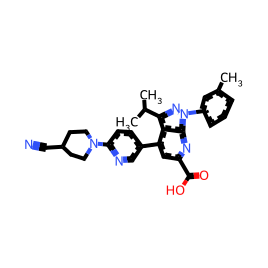 Cc1cccc(-n2nc(C(C)C)c3c(-c4ccc(N5CCC(C#N)CC5)nc4)cc(C(=O)O)nc32)c1